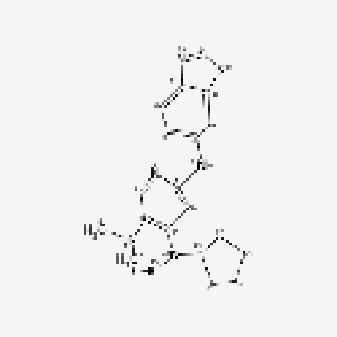 CN(C)c1cnc(Nc2ccc3ncsc3c2)cc1N(C=O)C1CCCC1